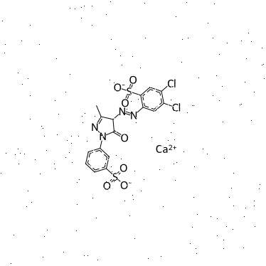 CC1=NN(c2cccc(S(=O)(=O)[O-])c2)C(=O)C1N=Nc1cc(Cl)c(Cl)cc1S(=O)(=O)[O-].[Ca+2]